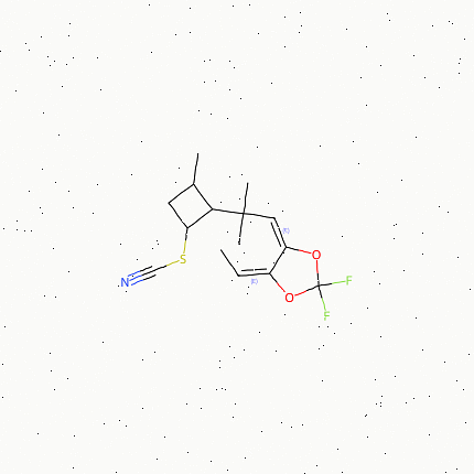 C/C=C1/OC(F)(F)O/C1=C/C(C)(C)C1C(C)CC1SC#N